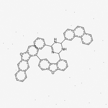 c1ccc(C2=NC(c3cccc4oc5ccc(-c6cccc7oc8cc9ccccc9cc8c67)cc5c34)NC(c3ccc4ccc5ccccc5c4c3)N2)cc1